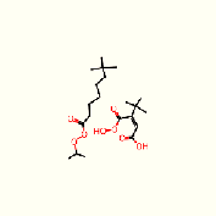 CC(C)(C)/C(=C/C(=O)O)C(=O)OO.CC(C)OOC(=O)CCCCCC(C)(C)C